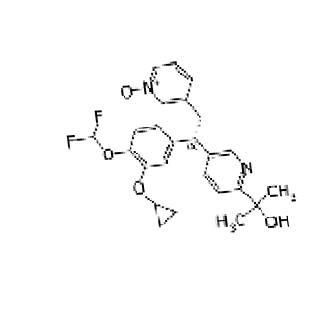 CC(C)(O)c1ccc([C@@H](Cc2ccc[n+]([O-])c2)c2ccc(OC(F)F)c(OC3CC3)c2)cn1